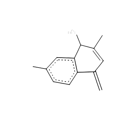 C=C1C=C(C)C(CCC)c2cc(C)ccc21